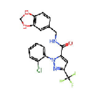 O=C(NCc1ccc2c(c1)OCO2)c1cc(C(F)(F)F)nn1-c1ccccc1Cl